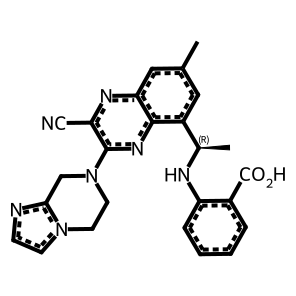 Cc1cc([C@@H](C)Nc2ccccc2C(=O)O)c2nc(N3CCn4ccnc4C3)c(C#N)nc2c1